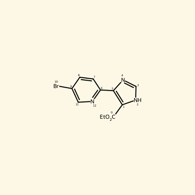 CCOC(=O)c1[nH]cnc1-c1ccc(Br)cn1